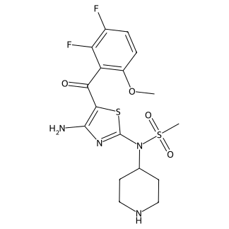 COc1ccc(F)c(F)c1C(=O)c1sc(N(C2CCNCC2)S(C)(=O)=O)nc1N